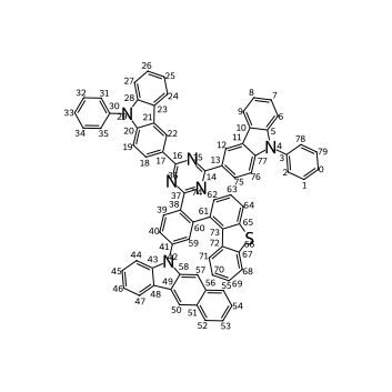 c1ccc(-n2c3ccccc3c3cc(-c4nc(-c5ccc6c(c5)c5ccccc5n6-c5ccccc5)nc(-c5ccc(-n6c7ccccc7c7cc8ccccc8cc76)cc5-c5cccc6sc7ccccc7c56)n4)ccc32)cc1